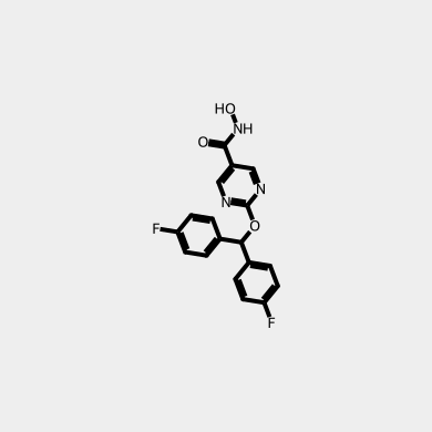 O=C(NO)c1cnc(OC(c2ccc(F)cc2)c2ccc(F)cc2)nc1